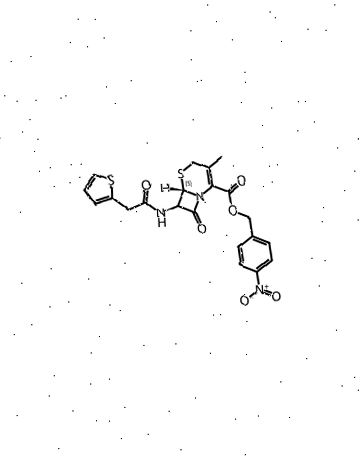 CC1=C(C(=O)OCc2ccc([N+](=O)[O-])cc2)N2C(=O)C(NC(=O)Cc3cccs3)[C@@H]2SC1